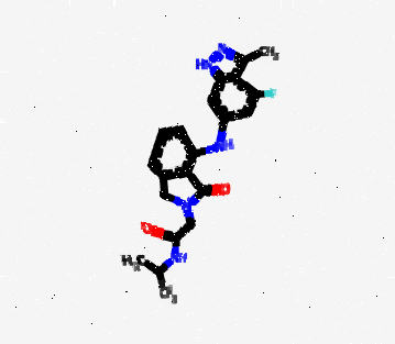 Cc1n[nH]c2cc(Nc3cccc4c3C(=O)N(CC(=O)NC(C)C(F)(F)F)C4)cc(F)c12